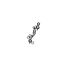 C1CCCC1.Cc1ccc(N(CCCN2CC3CN(C(=O)c4c(C)ccnc4C)CC3C2)C(=O)O)cc1Cl